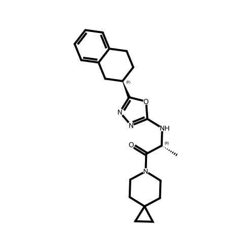 C[C@@H](Nc1nnc([C@@H]2CCc3ccccc3C2)o1)C(=O)N1CCC2(CC1)CC2